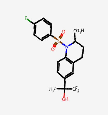 CC(O)(c1ccc2c(c1)CCC(C(=O)O)N2S(=O)(=O)c1ccc(F)cc1)C(F)(F)F